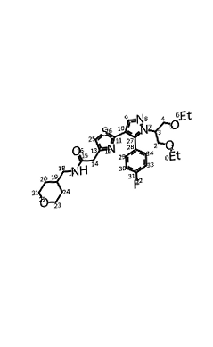 CCOCC(COCC)n1ncc(-c2nc(CC(=O)NCC3CCOCC3)cs2)c1-c1ccc(F)cc1